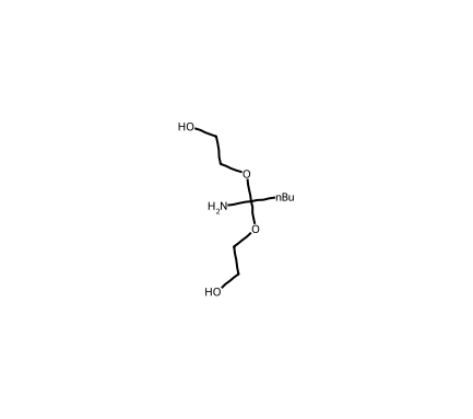 CCCCC(N)(OCCO)OCCO